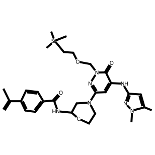 C=C(C)c1ccc(C(=O)NC2CCCN(c3cc(Nc4cc(C)n(C)n4)c(=O)n(COCC[Si](C)(C)C)n3)C2)cc1